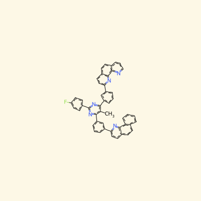 Cc1c(-c2cccc(-c3ccc4ccc5ccccc5c4n3)c2)nc(-c2ccc(F)cc2)nc1-c1cccc(-c2ccc3ccc4cccnc4c3n2)c1